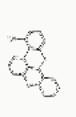 Nc1cccc2c1-c1cccc3nc4ccccc4c(c13)S2